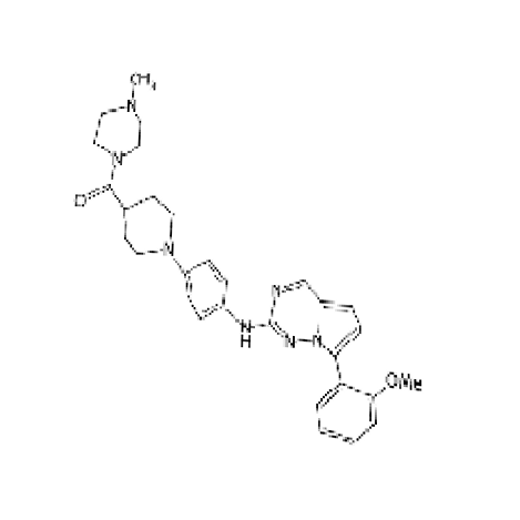 COc1ccccc1-c1ccc2cnc(Nc3ccc(N4CCC(C(=O)N5CCN(C)CC5)CC4)cc3)nn12